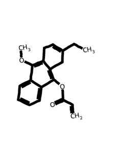 C=CC(=O)Oc1c2c(c(OC)c3ccccc13)CC=C(CC)C2